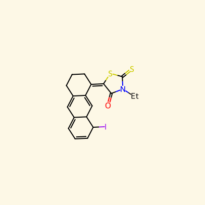 CCN1C(=O)/C(=C2/CCCC3=CC4=CC=CC(I)C4C=C32)SC1=S